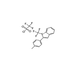 Cc1ccc(-c2cc3ccccc3[s+]2C(F)(F)F)cc1.O=S(=O)([O-])C(F)(F)F